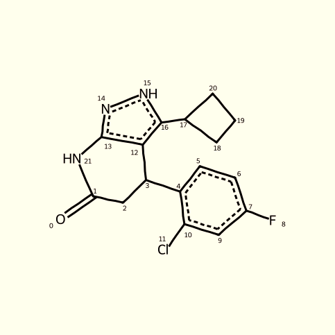 O=C1CC(c2ccc(F)cc2Cl)c2c(n[nH]c2C2CCC2)N1